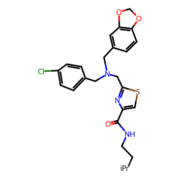 CC(C)CCNC(=O)c1csc(CN(Cc2ccc(Cl)cc2)Cc2ccc3c(c2)OCO3)n1